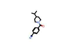 CC(C)C1CCN(C(=O)c2ccc(C#N)cc2)CC1